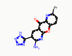 CC(C)c1ccc2oc3nc(N)c(-c4nnn[nH]4)cc3c(=O)c2n1